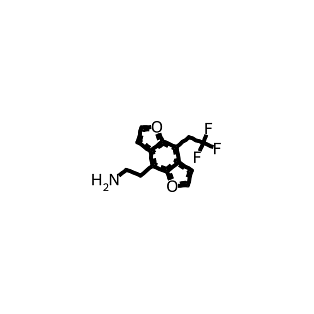 NCCc1c2ccoc2c(CC(F)(F)F)c2ccoc12